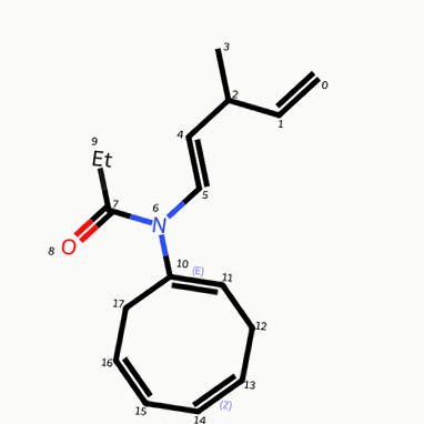 C=CC(C)C=CN(C(=O)CC)/C1=C/C/C=C\C=CC1